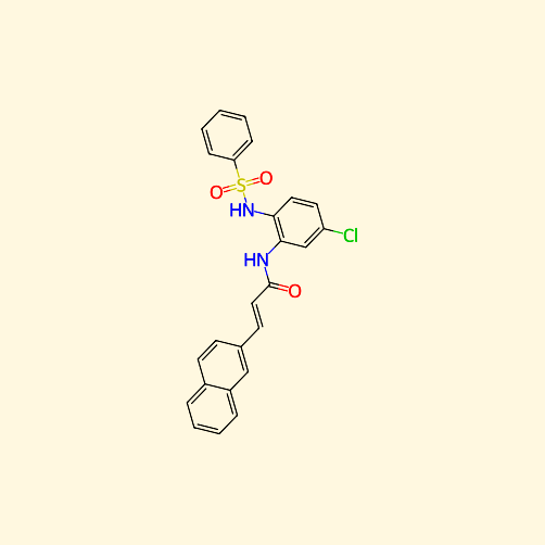 O=C(/C=C/c1ccc2ccccc2c1)Nc1cc(Cl)ccc1NS(=O)(=O)c1ccccc1